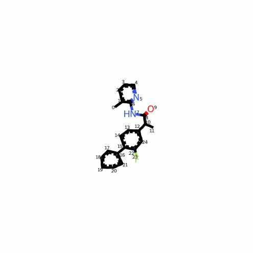 Cc1cccnc1NC(=O)C(C)c1ccc(-c2ccccc2)c(F)c1